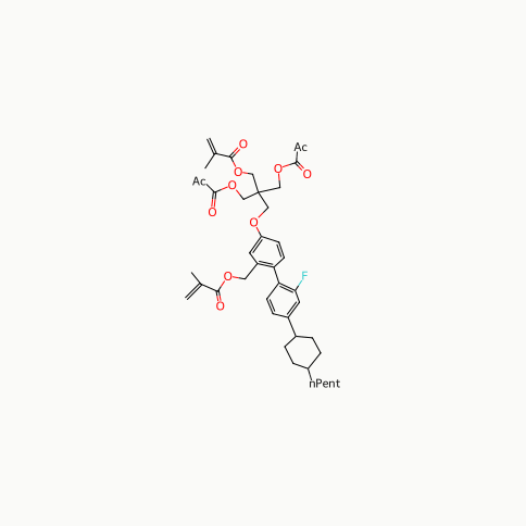 C=C(C)C(=O)OCc1cc(OCC(COC(=O)C(=C)C)(COC(=O)C(C)=O)COC(=O)C(C)=O)ccc1-c1ccc(C2CCC(CCCCC)CC2)cc1F